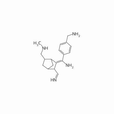 CNCC1CC2CC1/C(=C(/N)c1ccc(CN)cc1)C2C=N